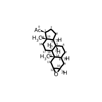 CC(=O)[C@H]1CC[C@H]2[C@@H]3CC[C@H]4C[C@H]5OC5C[C@]4(C)[C@H]3CC[C@]12C